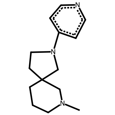 CN1CCCC2(CCN(c3ccncc3)C2)C1